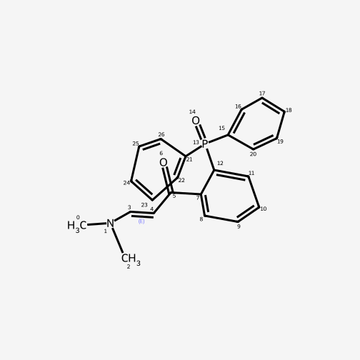 CN(C)/C=C/C(=O)c1ccccc1P(=O)(c1ccccc1)c1ccccc1